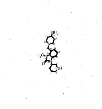 Cn1c(=O)n(C2CCCNC2)c2cccc(CN3CCC(N)CC3)c21